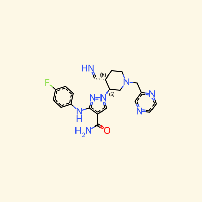 N=C[C@@H]1CCN(Cc2cnccn2)C[C@H]1n1cc(C(N)=O)c(Nc2ccc(F)cc2)n1